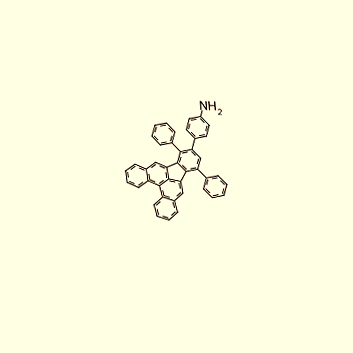 Nc1ccc(-c2cc(-c3ccccc3)c3c(c2-c2ccccc2)-c2cc4ccccc4c4c2c-3cc2ccccc24)cc1